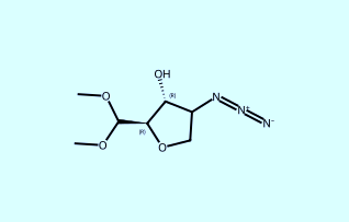 COC(OC)[C@@H]1OCC(N=[N+]=[N-])[C@H]1O